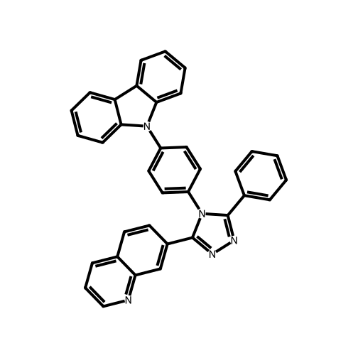 c1ccc(-c2nnc(-c3ccc4cccnc4c3)n2-c2ccc(-n3c4ccccc4c4ccccc43)cc2)cc1